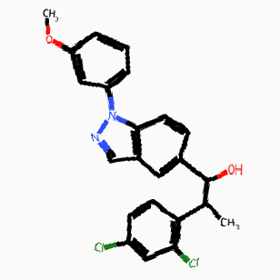 COc1cccc(-n2ncc3cc(C(O)C(C)c4ccc(Cl)cc4Cl)ccc32)c1